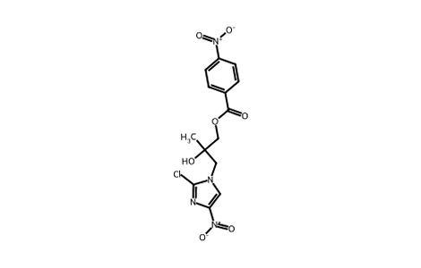 CC(O)(COC(=O)c1ccc([N+](=O)[O-])cc1)Cn1cc([N+](=O)[O-])nc1Cl